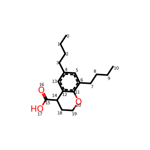 CCCCc1cc(CCCC)c2c(c1)C(C(=O)O)CCO2